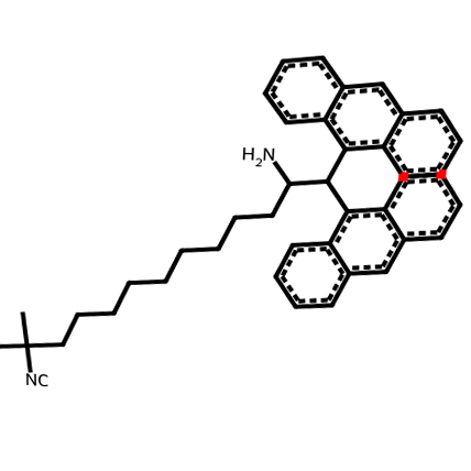 [C-]#[N+]C(C)(C)CCCCCCCCCC(N)C(c1c2ccccc2cc2ccccc12)c1c2ccccc2cc2ccccc12